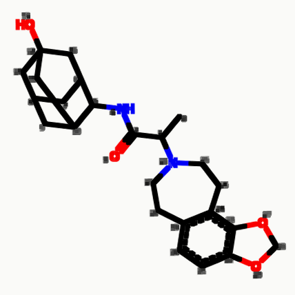 CC(C(=O)NC1C2CC3CC1CC(O)(C3)C2)N1CCc2ccc3c(c2CC1)OCO3